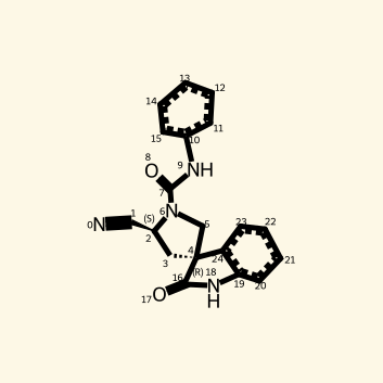 N#C[C@@H]1C[C@@]2(CN1C(=O)Nc1ccccc1)C(=O)Nc1ccccc12